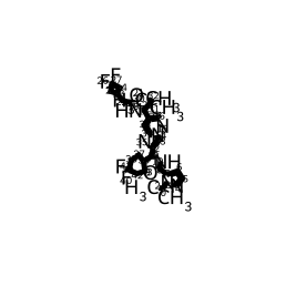 CC(C)n1nccc1C(=O)N[C@H](c1cn2ncc(C(NC(=O)CC3CC(F)(F)C3)C(C)(C)C)cc2n1)C1CCC(F)(F)CC1